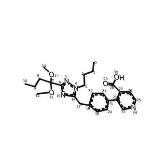 CCCCn1nc(C(CCC)(OC)OC)nc1Cc1ccc(-c2cnccc2C(=O)O)cc1